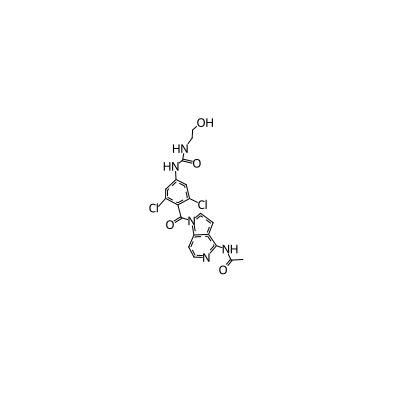 CC(=O)Nc1nccc2c1ccn2C(=O)c1c(Cl)cc(NC(=O)NCCO)cc1Cl